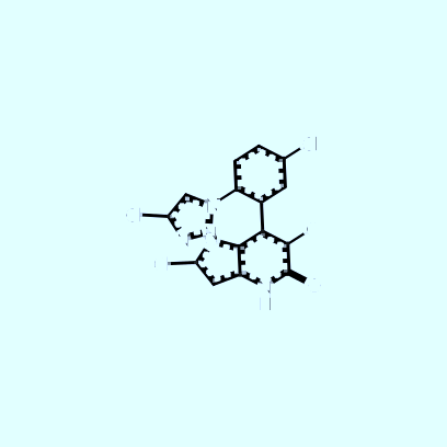 O=c1[nH]c2cc(Cl)oc2c(-c2cc(Cl)ccc2-n2cc(Cl)nn2)c1Cl